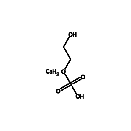 O=S(=O)(O)OCCO.[CaH2]